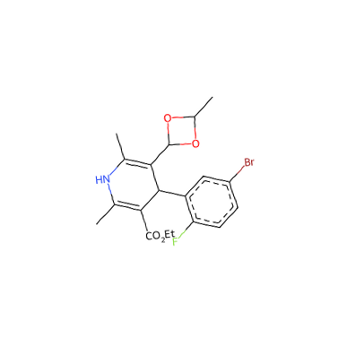 CCOC(=O)C1=C(C)NC(C)=C(C2OC(C)O2)C1c1cc(Br)ccc1F